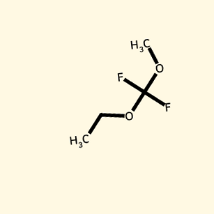 CCOC(F)(F)OC